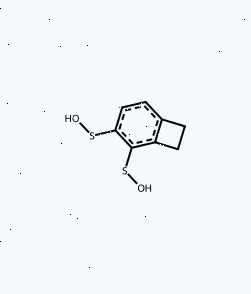 OSc1[c]cc2c(c1SO)CC2